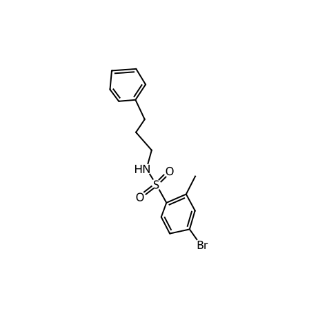 Cc1cc(Br)ccc1S(=O)(=O)NCCCc1ccccc1